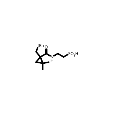 CC(C)(C)CC1(C(=O)NCCS(=O)(=O)O)CC1(C)C